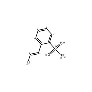 CC/C=C/c1ccccc1S(N)(=O)=O